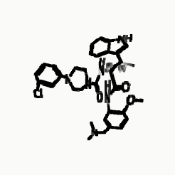 COc1ccc(CN(C)C)cc1NC(=O)[C@H](NC(=O)N1CCN(c2cccc(Cl)c2)CC1)[C@@H](C)c1c[nH]c2ccccc12